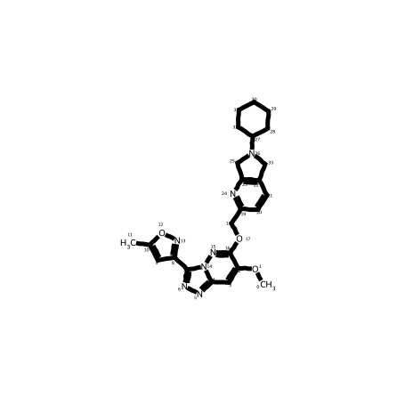 COc1cc2nnc(-c3cc(C)on3)n2nc1OCc1ccc2c(n1)CN(C1CCCCC1)C2